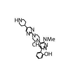 CNc1nnc(-c2ccccc2O)cc1N1CCN(c2ncc(C3CCNCC3)cn2)C[C@@H]1C